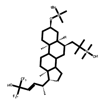 C[C@H](/C=C/C(O)(C(F)(F)F)C(F)(F)F)[C@H]1CCC2C3C[C@H](CC(C)(C)[Si](C)(C)O)[C@@H]4C[C@H](O[Si](C)(C)C(C)(C)C)CC[C@]4(C)C3CC[C@@]21C